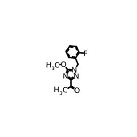 COc1nc(C(C)=O)nn1Cc1ccccc1F